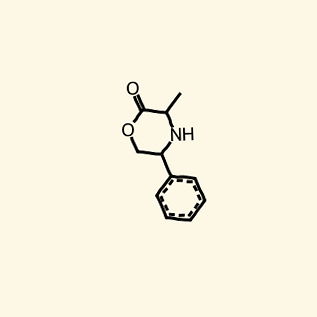 CC1NC(c2ccccc2)COC1=O